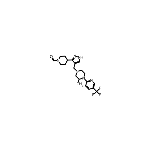 CC1CN(Cc2c[nH]nc2C2CCN(C=O)CC2)CCN1c1ccc(C(F)(F)F)cn1